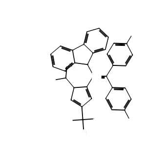 CC(C)C1C=C(C(C)(C)C)C=[C]1[Zr+2](=[C](c1ccc(Cl)cc1)c1ccc(Cl)cc1)[CH]1c2ccccc2-c2ccccc21.[Cl-].[Cl-]